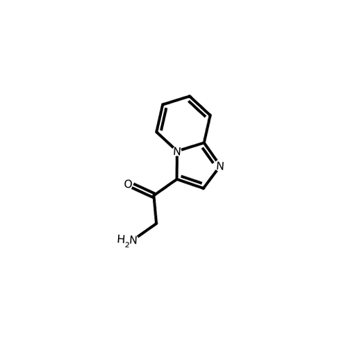 NCC(=O)c1cnc2ccccn12